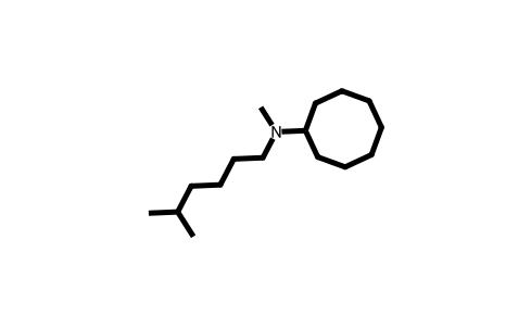 CC(C)CCCCN(C)C1CCCCCCC1